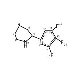 Fc1cc(C2CCCCN2)cc(F)c1F